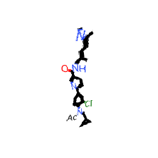 C=N/C(C)=C\C=C(/C)CNC(=O)c1ccc(-c2ccc(N(CC3CC3)C(C)=O)c(Cl)c2)nc1